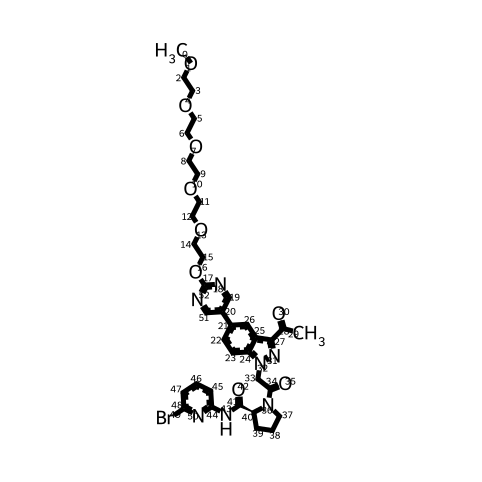 COCCOCCOCCOCCOCCOc1ncc(-c2ccc3c(c2)c(C(C)=O)nn3CC(=O)N2CCC[C@H]2C(=O)Nc2cccc(Br)n2)cn1